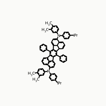 Cc1ccc(N(C2=CC=C3c4c(-c5ccccc5)c5c(c(-c6ccccc6)c4C4C=CC=C2C34)-c2ccc(N(c3ccc(C(C)C)cc3)c3ccc(C)c(C)c3)c3cccc-5c23)c2ccc(C(C)C)cc2)cc1C